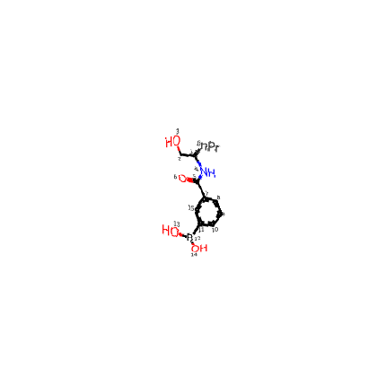 CCCC(CO)NC(=O)c1cccc(B(O)O)c1